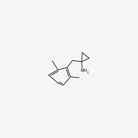 Cc1cccc(C)c1CC1(N)CC1